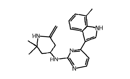 C=C1CC(Nc2nccc(-c3c[nH]c4c(C)cccc34)n2)CC(C)(C)N1